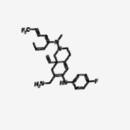 C=CC12CC(CN)=C(Nc3ccc(F)cc3)C=C1CCN(N(C)C(/C=C\C)=C/C=C/C(F)(F)F)C2